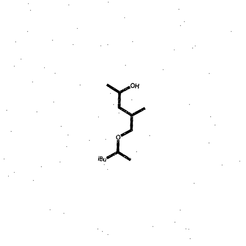 CCC(C)C(C)OCC(C)CC(C)O